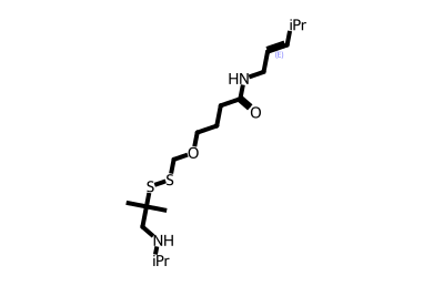 CC(C)/C=C/CNC(=O)CCCOCSSC(C)(C)CNC(C)C